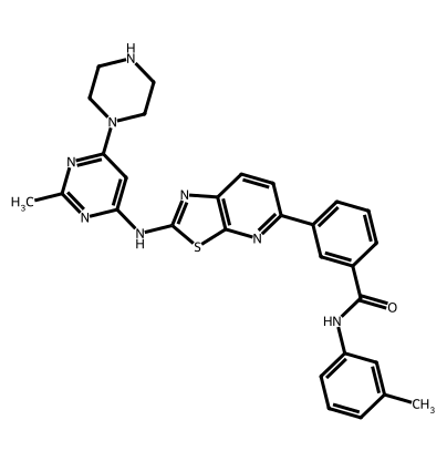 Cc1cccc(NC(=O)c2cccc(-c3ccc4nc(Nc5cc(N6CCNCC6)nc(C)n5)sc4n3)c2)c1